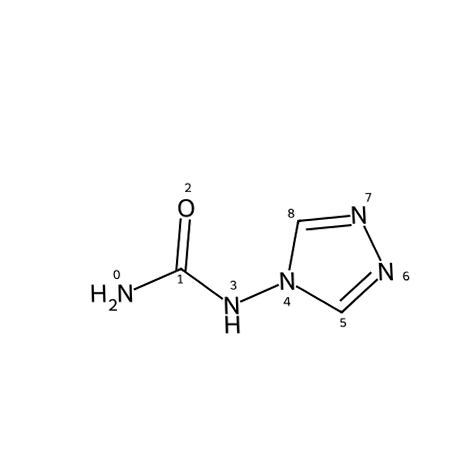 NC(=O)Nn1cnnc1